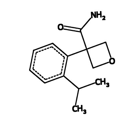 CC(C)c1ccccc1C1(C(N)=O)COC1